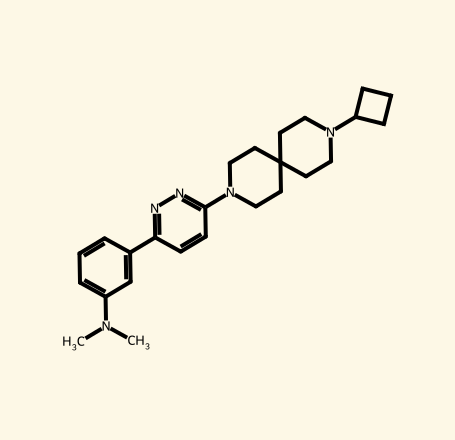 CN(C)c1cccc(-c2ccc(N3CCC4(CC3)CCN(C3CCC3)CC4)nn2)c1